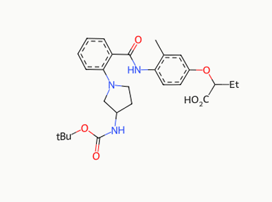 CCC(Oc1ccc(NC(=O)c2ccccc2N2CCC(NC(=O)OC(C)(C)C)C2)c(C)c1)C(=O)O